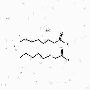 CCCCCCCC(=O)[O-].CCCCCCCC(=O)[O-].[Fe+2]